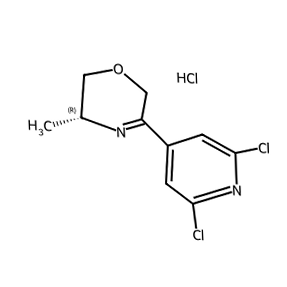 C[C@@H]1COCC(c2cc(Cl)nc(Cl)c2)=N1.Cl